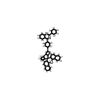 c1ccc2ccc3c(c2c#1)Oc1c(ccc2ccccc12)C31C2=C(C=C(c3ccc(-c4nc(-c5ccccc5)nc5ccccc45)cc3)CC2)c2ccccc21